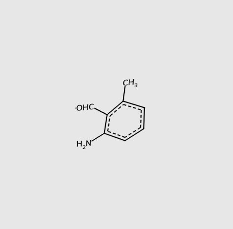 Cc1cccc(N)c1[C]=O